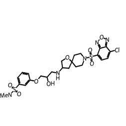 CNS(=O)(=O)c1cccc(OCC(O)CNC2COC3(CCN(S(=O)(=O)c4ccc(Cl)c5nonc45)CC3)C2)c1